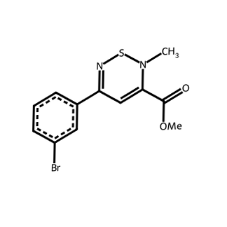 COC(=O)C1=CC(c2cccc(Br)c2)=NSN1C